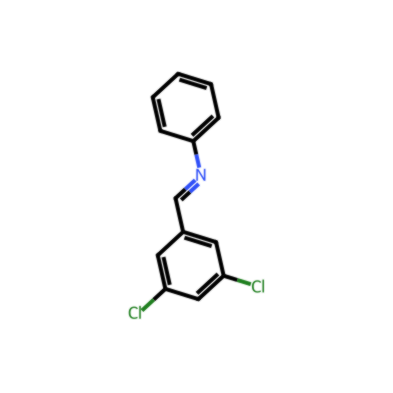 Clc1cc(Cl)cc(/C=N/c2ccccc2)c1